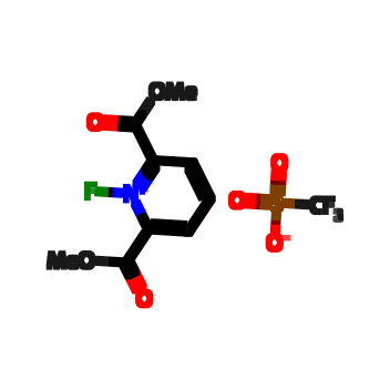 COC(=O)c1cccc(C(=O)OC)[n+]1F.O=S(=O)([O-])C(F)(F)F